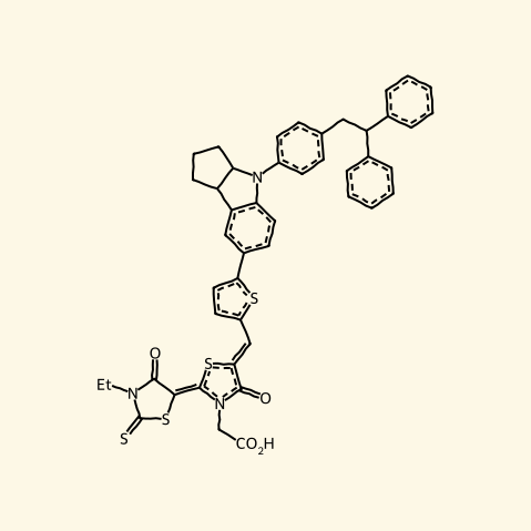 CCN1C(=O)/C(=c2\s/c(=C\c3ccc(-c4ccc5c(c4)C4CCCC4N5c4ccc(CC(c5ccccc5)c5ccccc5)cc4)s3)c(=O)n2CC(=O)O)SC1=S